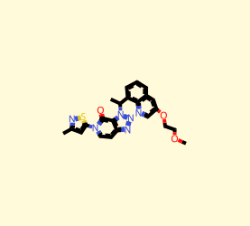 COCCOc1cnc2c(C(C)n3nnc4ccn(-c5cc(C)ns5)c(=O)c43)cccc2c1